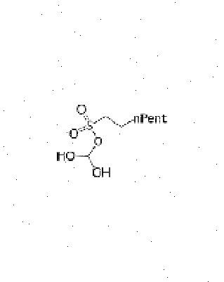 CCCCCCCS(=O)(=O)OC(O)O